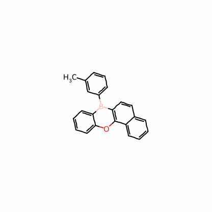 Cc1cccc(B2c3ccccc3Oc3c2ccc2ccccc32)c1